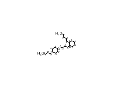 CCCC=CC1CCCCC1CCCC[C@H]1CC[C@H](CCCC)CC1